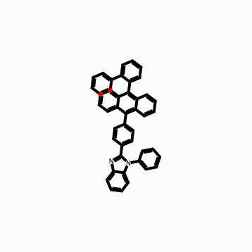 c1ccc(-c2ccccc2-c2c3ccccc3c(-c3ccc(-c4nc5ccccc5n4-c4ccccc4)cc3)c3ccccc23)cc1